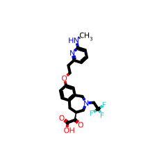 CNc1cccc(CCOc2ccc3c(c2)CN(CC(F)(F)F)C[C@@H](C(=O)C(=O)O)C3)n1